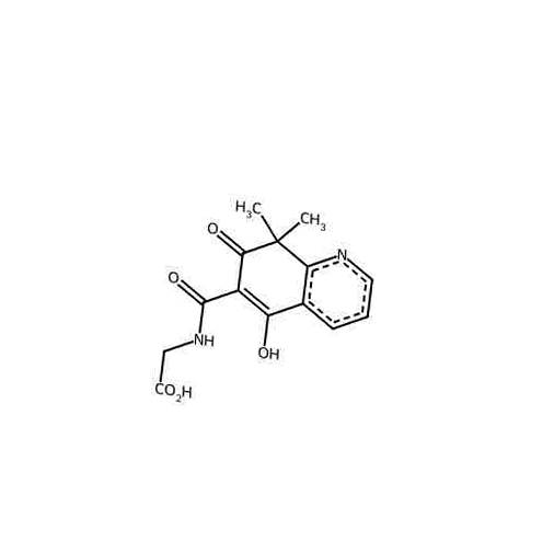 CC1(C)C(=O)C(C(=O)NCC(=O)O)=C(O)c2cccnc21